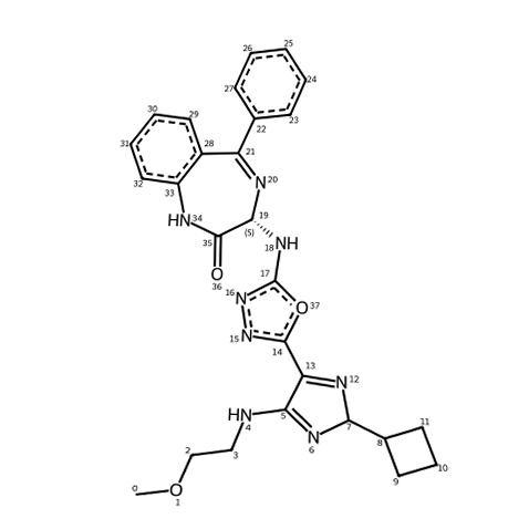 COCCNC1=NC(C2CCC2)N=C1c1nnc(N[C@H]2N=C(c3ccccc3)c3ccccc3NC2=O)o1